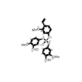 C=Cc1ccc(OP(=O)(Oc2ccc(OC)c(C=O)c2)Oc2ccc(C=O)c(OC)c2)cc1OC